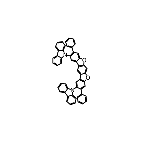 c1ccc(-c2cc3oc4cc5oc6cc(-c7ccccc7)c(-n7c8ccccc8c8ccccc87)cc6c5cc4c3cc2-n2c3ccccc3c3ccccc32)cc1